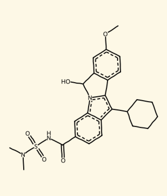 COc1ccc2c(c1)C(O)n1c-2c(C2CCCCC2)c2ccc(C(=O)NS(=O)(=O)N(C)C)cc21